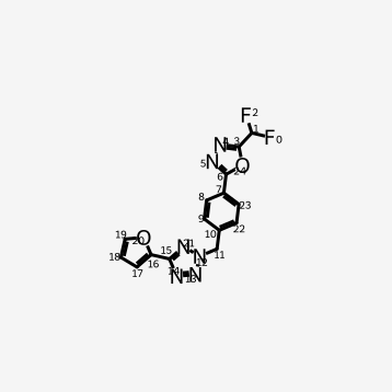 FC(F)c1nnc(-c2ccc(Cn3nnc(-c4ccco4)n3)cc2)o1